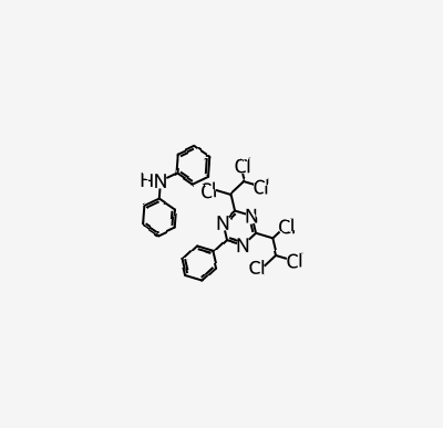 ClC(Cl)C(Cl)c1nc(-c2ccccc2)nc(C(Cl)C(Cl)Cl)n1.c1ccc(Nc2ccccc2)cc1